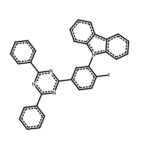 Fc1ccc(-c2nc(-c3ccccc3)nc(-c3ccccc3)n2)cc1-n1c2ccccc2c2ccccc21